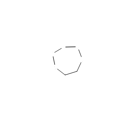 C1CSSSSS1